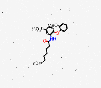 CCCCCCCCCCCCCCCC(=O)Nc1cc(C(=O)O)ccc1Oc1ccccc1OC